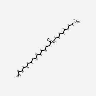 CCCCCCCCCCCCCCCCCCOC(=O)CCCCCCCCCCCCCCC(C)C